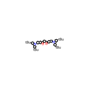 CC(C)(C)c1ccc2c(c1)c1cc(C(C)(C)C)ccc1n2-c1ccc2cc3c(cc2c1)oc1c3ccc2c3cc4ccc(-n5c6ccc(C(C)(C)C)cc6c6cc(C(C)(C)C)ccc65)cc4cc3oc21